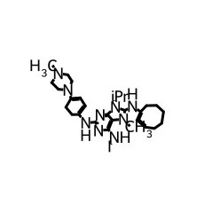 CC(C)N1c2nc(NC3=CC=C(N4CCN(C)CC4)CC3)nc(NI)c2N(C)C1NC1=C=CCCCCC1